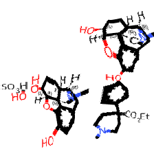 CCOC(=O)C1(c2ccccc2)CCN(C)CC1.CN1CC[C@]23c4c5ccc(O)c4O[C@H]2[C@@H](O)C=C[C@H]3[C@H]1C5.CN1CC[C@]23c4c5ccc(O)c4O[C@H]2[C@@H](O)C=C[C@H]3[C@H]1C5.O=S(=O)(O)O